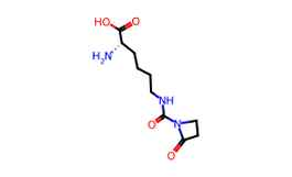 N[C@@H](CCCCNC(=O)N1CCC1=O)C(=O)O